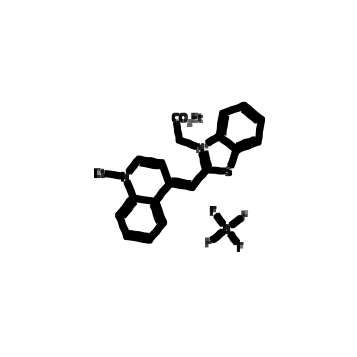 CCOC(=O)C[n+]1c(C=C2C=CN(CC)c3ccccc32)sc2ccccc21.F[B-](F)(F)F